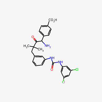 CC(C)(Cc1cccc(NC(=O)Nc2cc(Cl)cc(Cl)c2)c1)C(=O)C(N)c1ccc(C(=O)O)cc1